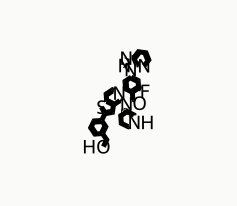 O=C(c1ccc(-n2nnc3cccnc32)cc1F)N(c1nccc2sc(-c3cccc(CO)c3)cc12)[C@@H]1CCCNC1